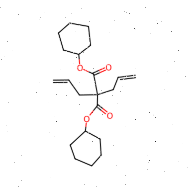 C=CCC(CC=C)(C(=O)OC1CCCCC1)C(=O)OC1CCCCC1